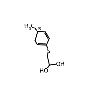 C[C@H]1C=CC(SCC(O)O)=CC1